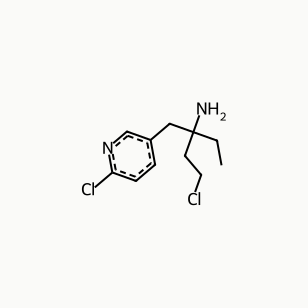 CCC(N)(CCCl)Cc1ccc(Cl)nc1